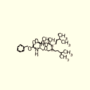 COC(=O)C(COC[C@H](CCC(C)C)[C@@H](CCC(C)C)[C@H](C)O)NC(=O)OCc1ccccc1